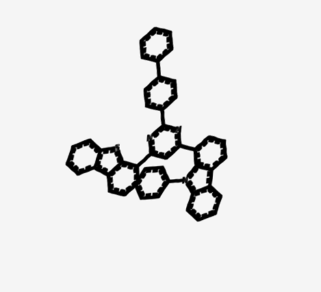 c1ccc(-c2ccc(-c3nc(-c4cccc5c4sc4ccccc45)cc(-c4cccc5c6ccccc6n(-c6ccccc6)c45)n3)cc2)cc1